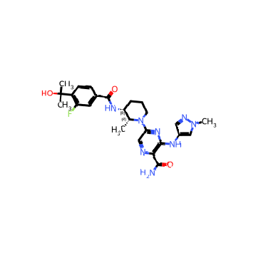 C[C@@H]1[C@H](NC(=O)c2ccc(C(C)(C)O)c(F)c2)CCCN1c1cnc(C(N)=O)c(Nc2cnn(C)c2)n1